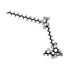 CCCCCCCCCCCCCCCCCOCC(CO)OC(=O)CCCCCCCCC(=O)O[C@@H]1CC[C@](O)(CCl)[C@@H]([C@@]2(C)OC2CC=C(C)C)[C@@H]1OC